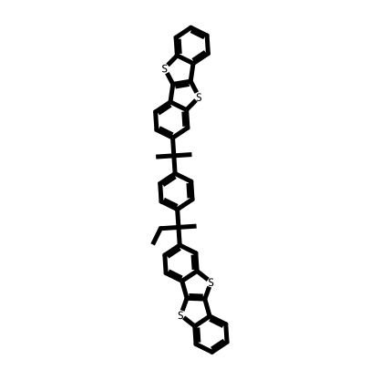 CCC(C)(c1ccc(C(C)(C)c2ccc3c(c2)sc2c4ccccc4sc32)cc1)c1ccc2c(c1)sc1c3ccccc3sc21